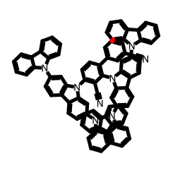 N#Cc1cccc(-c2ccc(-n3c4cc(-n5c6ccccc6c6ccccc65)ccc4c4ccc(-n5c6ccccc6c6ccccc65)cc43)c(C#N)c2-n2c3cc(-n4c5ccccc5c5ccccc54)ccc3c3ccc(-n4c5ccccc5c5ccccc54)cc32)c1